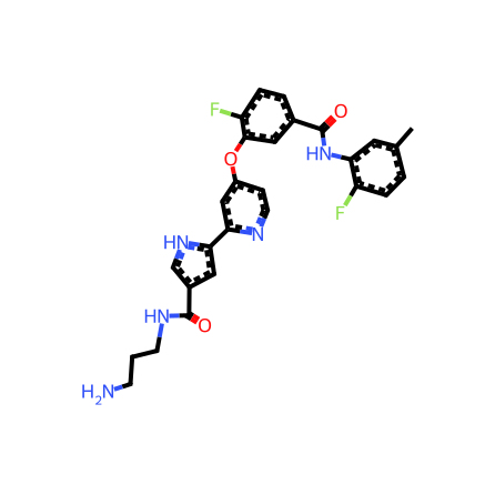 Cc1ccc(F)c(NC(=O)c2ccc(F)c(Oc3ccnc(-c4cc(C(=O)NCCCN)c[nH]4)c3)c2)c1